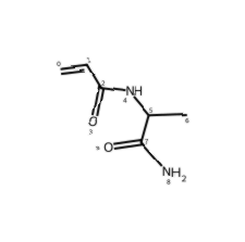 C=CC(=O)NC(C)C(N)=O